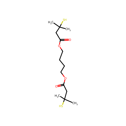 CC(C)(S)CC(=O)OCCCCOC(=O)CC(C)(C)S